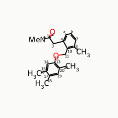 CNC(=O)Cc1cccc(C)c1COc1cc(C)c(C)cc1C